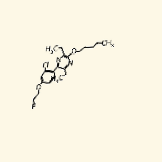 CCCCCOc1nc(CC)c(-c2ccc(OCCF)cc2Cl)nc1CC